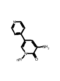 CCCn1cc(-c2ccncc2)cc(N)c1=O